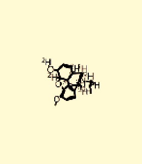 [2H]OC1C=C[C@]2([2H])[C@@]34CCN(C([2H])([2H])[2H])[C@]2([2H])C([2H])([2H])c2ccc(OC)c(c23)OC14[2H]